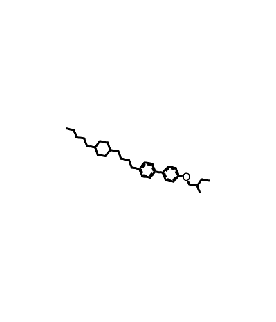 CCCCCC1CCC(CCCCc2ccc(-c3ccc(OCC(C)CC)cc3)cc2)CC1